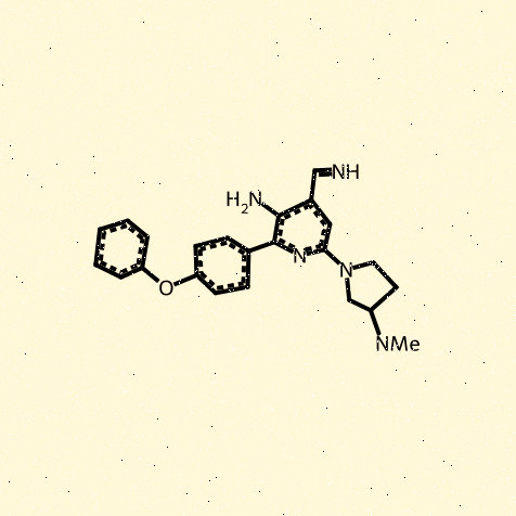 CNC1CCN(c2cc(C=N)c(N)c(-c3ccc(Oc4ccccc4)cc3)n2)C1